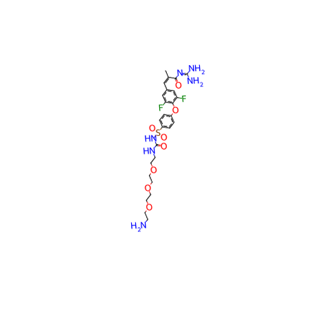 CC(=Cc1cc(F)c(Oc2ccc(S(=O)(=O)NC(=O)NCCOCCOCCOCCN)cc2)c(F)c1)C(=O)N=C(N)N